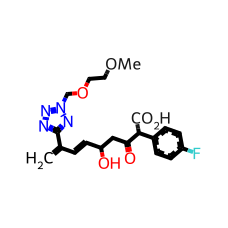 C=C(C=CC(O)CC(=O)C(C(=O)O)c1ccc(F)cc1)c1nnn(COCCOC)n1